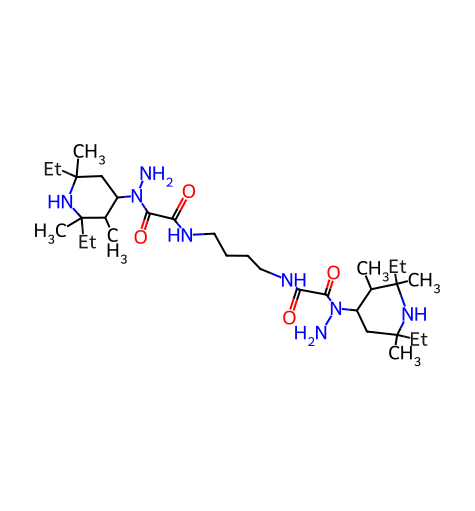 CCC1(C)CC(N(N)C(=O)C(=O)NCCCCNC(=O)C(=O)N(N)C2CC(C)(CC)NC(C)(CC)C2C)C(C)C(C)(CC)N1